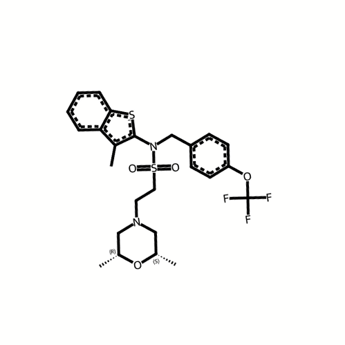 Cc1c(N(Cc2ccc(OC(F)(F)F)cc2)S(=O)(=O)CCN2C[C@@H](C)O[C@@H](C)C2)sc2ccccc12